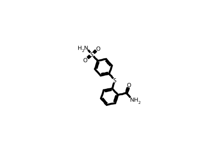 NC(=O)c1ccccc1Sc1ccc(S(N)(=O)=O)cc1